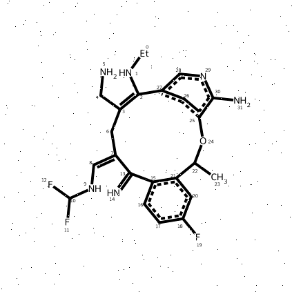 CCN/C1=C(\CN)C/C(=C/NC(F)F)C(=N)c2ccc(F)cc2C(C)Oc2cc1cnc2N